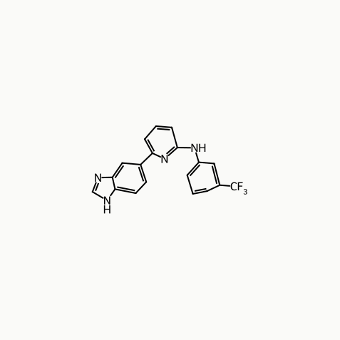 FC(F)(F)c1cccc(Nc2cccc(-c3ccc4[nH]cnc4c3)n2)c1